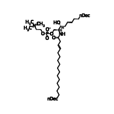 CCCCCCCCCCCCC=CC[C@@H](O)[C@H](COP(=O)([O-])OCC[N+](C)(C)C)NC(=O)CC=CCCCCCCCCCCCCCCCCCCCCCC